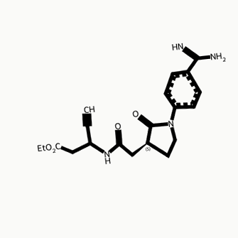 C#CC(CC(=O)OCC)NC(=O)C[C@@H]1CCN(c2ccc(C(=N)N)cc2)C1=O